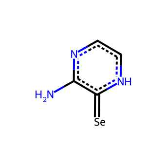 Nc1ncc[nH]c1=[Se]